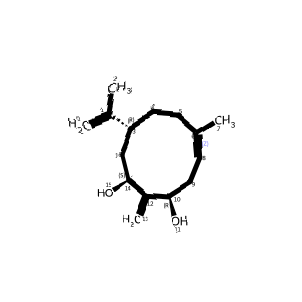 C=C(C)[C@@H]1CC/C(C)=C\C[C@@H](O)C(=C)[C@@H](O)C1